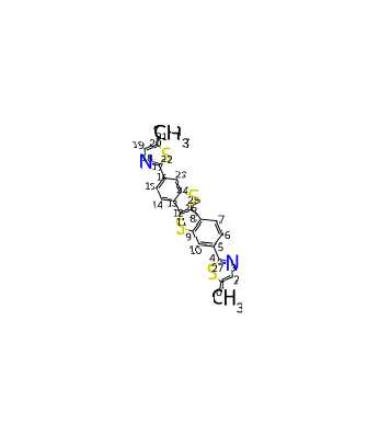 Cc1cnc(-c2ccc3c(c2)sc2c4ccc(-c5ncc(C)s5)cc4sc32)s1